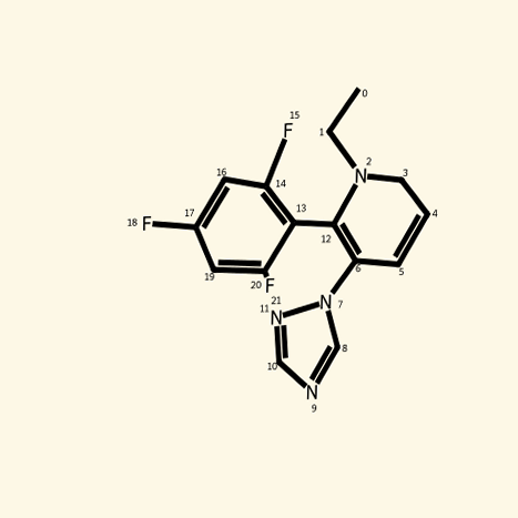 CCN1CC=CC(n2cncn2)=C1c1c(F)cc(F)cc1F